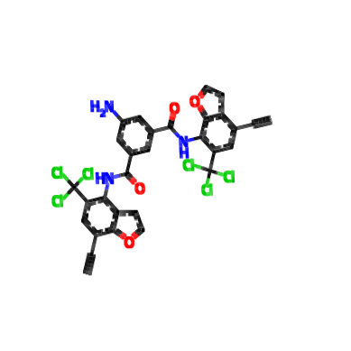 C#Cc1cc(C(Cl)(Cl)Cl)c(NC(=O)c2cc(N)cc(C(=O)Nc3c(C(Cl)(Cl)Cl)cc(C#C)c4occc34)c2)c2occc12